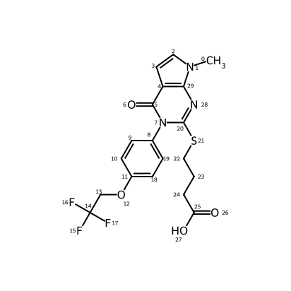 Cn1ccc2c(=O)n(-c3ccc(OCC(F)(F)F)cc3)c(SCCCC(=O)O)nc21